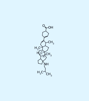 CC(C)CCNC12CCCC1C1CCC3C4(C)CC=C(C5=CCC(C(=O)O)CC5)C(C)C4CCC3(C)[C@]1(C)CC2